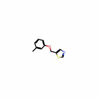 Cc1cccc(OCc2cncs2)c1